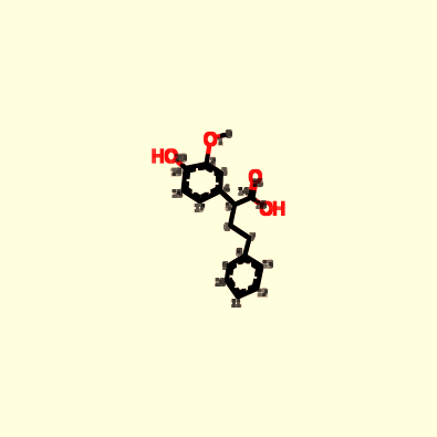 COc1cc(C(CCc2ccccc2)C(=O)O)ccc1O